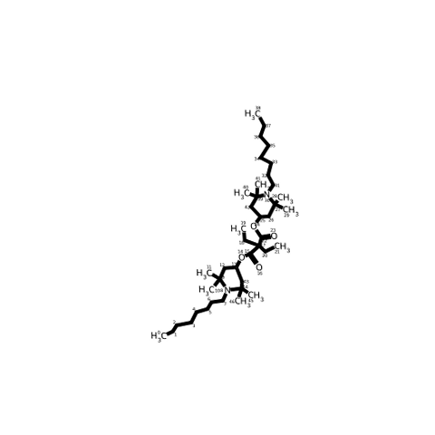 CCCCCCCCN1C(C)(C)CC(OC(=O)C(CC)(CC)C(=O)OC2CC(C)(C)N(CCCCCCCC)C(C)(C)C2)CC1(C)C